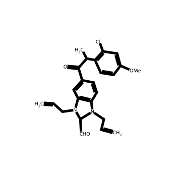 C=CCN1c2ccc(C(=O)C(C)c3ccc(OC)cc3Cl)cc2N(CC=C)C1C=O